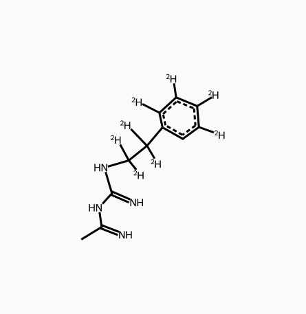 [2H]c1cc(C([2H])([2H])C([2H])([2H])NC(=N)NC(C)=N)c([2H])c([2H])c1[2H]